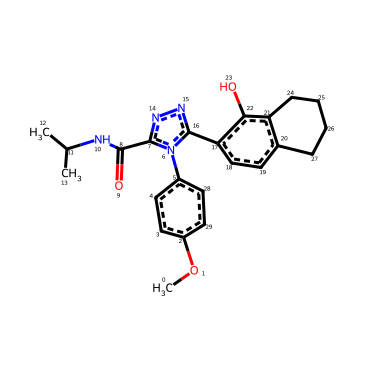 COc1ccc(-n2c(C(=O)NC(C)C)nnc2-c2ccc3c(c2O)CCCC3)cc1